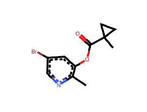 Cc1ncc(Br)cc1OC(=O)C1(C)CC1